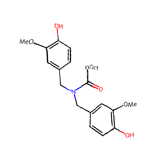 CCCCCCCCC(=O)N(Cc1ccc(O)c(OC)c1)Cc1ccc(O)c(OC)c1